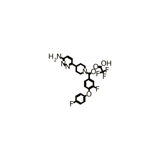 Nc1ccc(C2CCN(C(=O)c3ccc(Oc4ccc(F)cc4)c(F)c3)CC2)nn1.O=C(O)C(F)(F)F